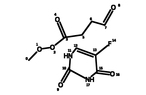 COOC(=O)CCC=O.O=c1[nH]cc(F)c(=O)[nH]1